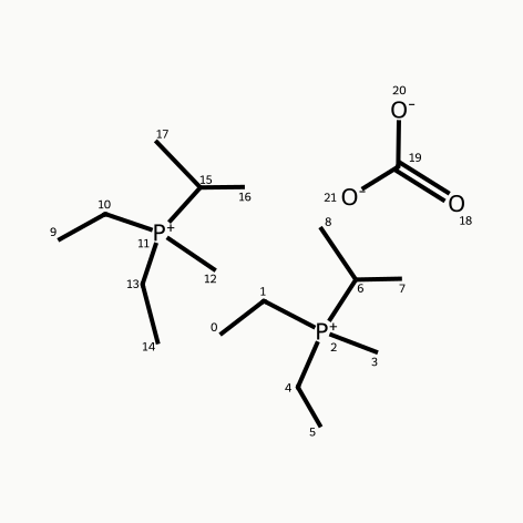 CC[P+](C)(CC)C(C)C.CC[P+](C)(CC)C(C)C.O=C([O-])[O-]